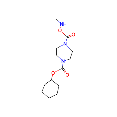 CNOC(=O)N1CCN(C(=O)OC2CCCCC2)CC1